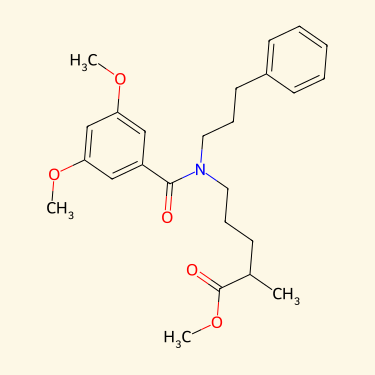 COC(=O)C(C)CCCN(CCCc1ccccc1)C(=O)c1cc(OC)cc(OC)c1